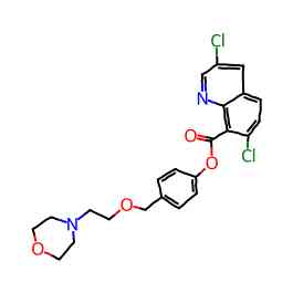 O=C(Oc1ccc(COCCN2CCOCC2)cc1)c1c(Cl)ccc2cc(Cl)cnc12